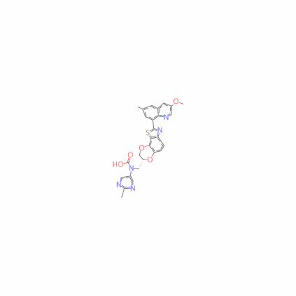 COc1cnc2c(-c3nc4ccc5c(c4s3)OC[C@@H](CN(C(=O)O)c3cnc(C)nc3)O5)cc(C)cc2c1